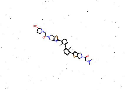 CC1=C(c2nc3c(s2)CN(C(=O)CN2CC[C@@H](O)C2)C3)CCC=C1c1cccc(-c2cc3c(s2)CN(C(=O)CN(C)C)C3)c1C